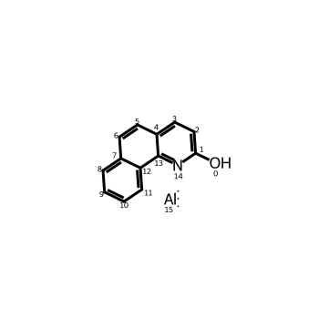 Oc1ccc2ccc3ccccc3c2n1.[Al]